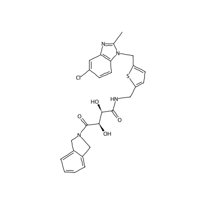 Cc1nc2cc(Cl)ccc2n1Cc1ccc(CNC(=O)[C@H](O)[C@@H](O)C(=O)N2Cc3ccccc3C2)s1